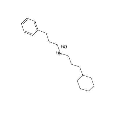 Cl.c1ccc(CCCNCCCC2CCCCC2)cc1